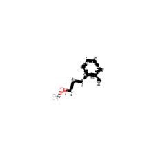 [CH2]COCCCc1ccccc1C